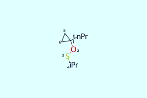 CCCC1(OSC(C)C)CC1